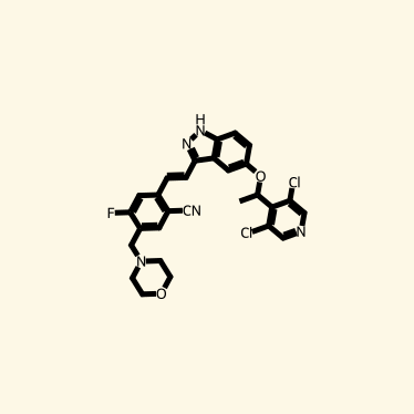 CC(Oc1ccc2[nH]nc(/C=C/c3cc(F)c(CN4CCOCC4)cc3C#N)c2c1)c1c(Cl)cncc1Cl